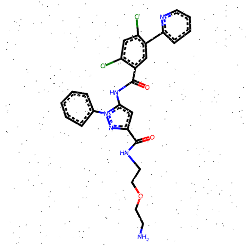 NCCOCCNC(=O)c1cc(NC(=O)c2cc(-c3ccccn3)c(Cl)cc2Cl)n(-c2ccccc2)n1